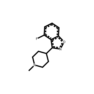 CN1CCC(c2noc3cccc(F)c23)CC1